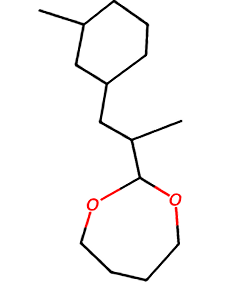 CC1CCCC(CC(C)C2OCCCCO2)C1